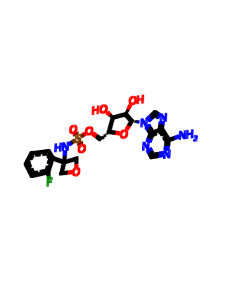 Nc1ncnc2c1ncn2[C@@H]1O[C@H](COS(=O)(=O)NC2(c3ccccc3F)COC2)[C@@H](O)[C@H]1O